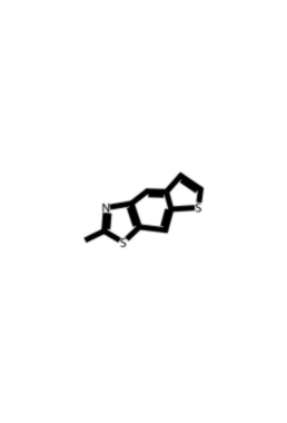 Cc1nc2cc3ccsc3cc2s1